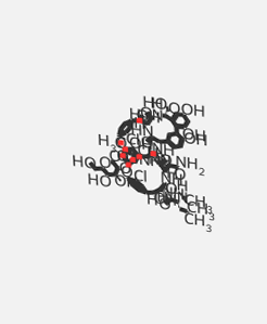 CN[C@H](CC(C)C)C(=O)N[C@H]1C(=O)N[C@@H](CC(N)=O)C(=O)N[C@H]2C(=O)NC3C(=O)N[C@H](C(=O)N[C@H](C(=O)O)C4=CC(O)CC(O)=C4C4CC3=CC=C4O)[C@H](O)C3=CC=C(Oc4cc2cc(c4O[C@H]2OC(CO)C(O)[C@H](O)C2O[C@H]2CC(C)(N)[C@@H](O)[C@H](C)O2)Oc2ccc(cc2Cl)[C@H]1O)C(Cl)C3